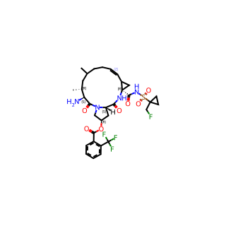 CC1CC/C=C\C2C[C@@]2(C(=O)NS(=O)(=O)C2(CF)CC2)NC(=O)[C@@H]2C[C@@H](OC(=O)c3ccccc3C(F)(F)F)CN2C(=O)[C@@H](N)[C@H](C)C1